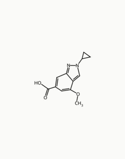 COc1cc(C(=O)O)cc2nn(C3CC3)cc12